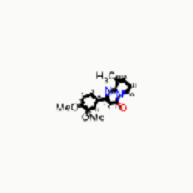 COc1ccc(-c2cc(=O)n3cccc(C)c3n2)cc1OC